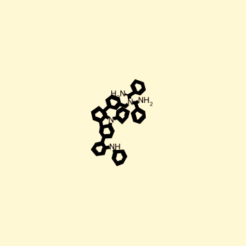 NC(c1ccccc1)N(Cc1cccc(-c2cccc3c4cc(-c5ccccc5Nc5ccccc5)ccc4n(-c4ccccc4)c23)c1)[C@@H](N)C1=CCCC=C1